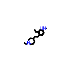 CCc1cc(NC)ccc1CCC1CCCN(CC)CC1